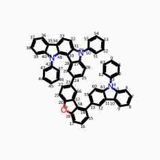 c1ccc(-n2c3ccccc3c3cc(-c4cccc5oc6ccc(-c7ccc8c(c7)c7c(ccc9c%10ccccc%10n(-c%10ccccc%10)c97)n8-c7ccccc7)cc6c45)ccc32)cc1